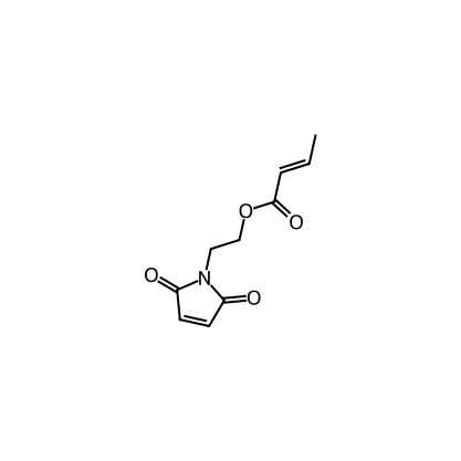 C/C=C/C(=O)OCCN1C(=O)C=CC1=O